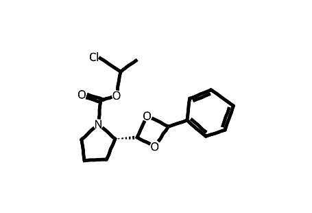 CC(Cl)OC(=O)N1CCC[C@H]1C1OC(c2ccccc2)O1